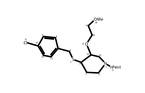 CCCCCN1CCC(SCc2ccc(Cl)cc2)C(OCCOC)C1